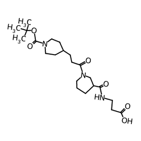 CC(C)(C)OC(=O)N1CCC(CCC(=O)N2CCCC(C(=O)NCCC(=O)O)C2)CC1